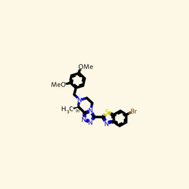 COc1ccc(CN2CCn3c(-c4nc5ccc(Br)cc5s4)nnc3[C@H]2C)c(OC)c1